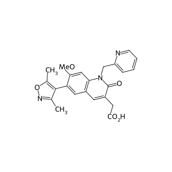 COc1cc2c(cc1-c1c(C)noc1C)cc(CC(=O)O)c(=O)n2Cc1ccccn1